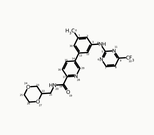 Cc1cc(Nc2nccc(C(F)(F)F)n2)cc(-c2ccc(C(=O)NCC3COCCO3)nc2)c1